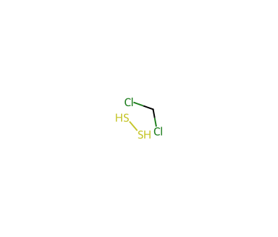 ClCCl.SS